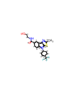 Cc1nc2c3cc(C(=O)NCCO)ccc3n(-c3ccc(C(F)(F)F)cc3)c2s1